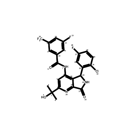 CC(C)(O)c1cc(NC(=O)c2cc(F)cc(C(F)(F)F)c2)c2c(n1)C(=O)NC2c1cc(F)ccc1Cl